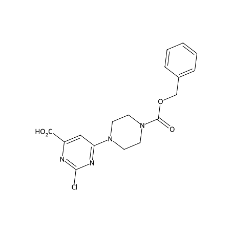 O=C(O)c1cc(N2CCN(C(=O)OCc3ccccc3)CC2)nc(Cl)n1